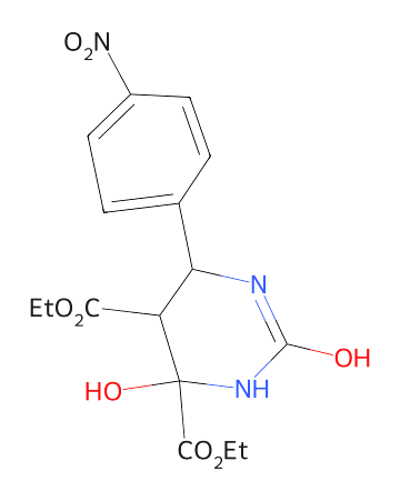 CCOC(=O)C1C(c2ccc([N+](=O)[O-])cc2)N=C(O)NC1(O)C(=O)OCC